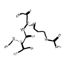 CCC(=O)[C@H](CCCNC(N)=O)NC(=O)[C@@H](NC(C)C)C(C)O